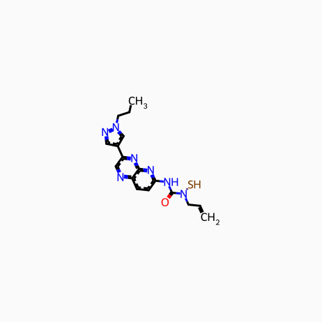 C=CCN(S)C(=O)Nc1ccc2ncc(-c3cnn(CCC)c3)nc2n1